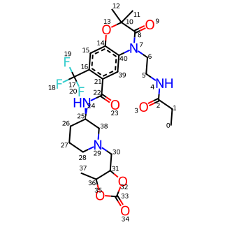 CCC(=O)NCCN1C(=O)C(C)(C)Oc2cc(C(F)(F)F)c(C(=O)N[C@@H]3CCCN(CC4OC(=O)OC4C)C3)cc21